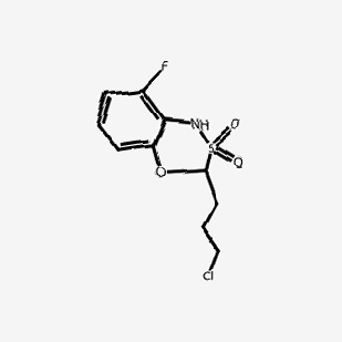 O=S1(=O)Nc2c(F)cccc2OC1CCCCl